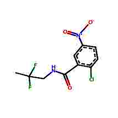 CC(F)(F)CNC(=O)c1cc([N+](=O)[O-])ccc1Cl